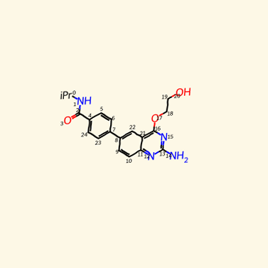 CC(C)NC(=O)c1ccc(-c2ccc3nc(N)nc(OCCO)c3c2)cc1